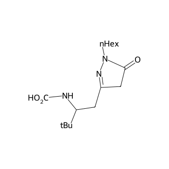 CCCCCCN1N=C(CC(NC(=O)O)C(C)(C)C)CC1=O